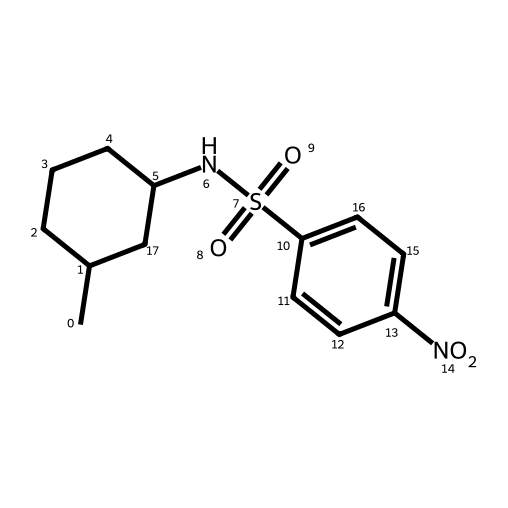 CC1CCCC(NS(=O)(=O)c2ccc([N+](=O)[O-])cc2)C1